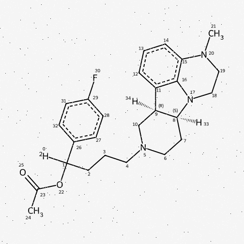 [2H]C(CCCN1CC[C@H]2[C@@H](C1)c1cccc3c1N2CCN3C)(OC(C)=O)c1ccc(F)cc1